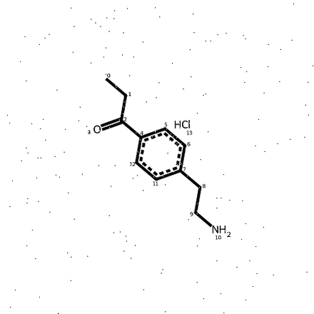 CCC(=O)c1ccc(CCN)cc1.Cl